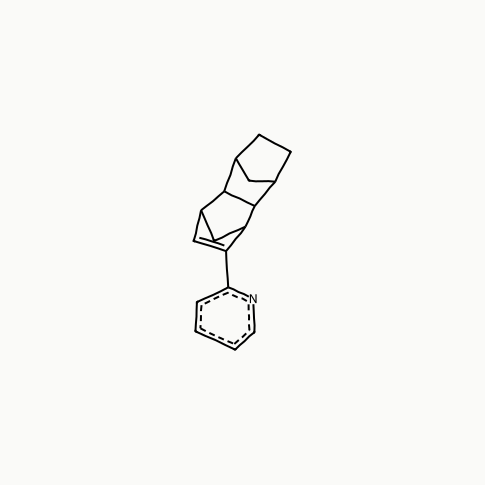 C1=C(c2ccccn2)C2CC1C1C3CCC(C3)C21